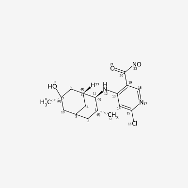 C[C@@H]1CC2C[C@H](C[C@](C)(O)C2)[C@H]1Nc1cc(Cl)ncc1C(=O)N=O